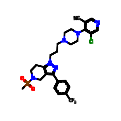 CS(=O)(=O)N1CCc2c(c(-c3ccc(C(F)(F)F)cc3)nn2CCCN2CCN(c3c(Cl)cncc3C#N)CC2)C1